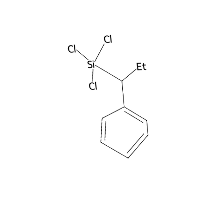 CCC(c1ccccc1)[Si](Cl)(Cl)Cl